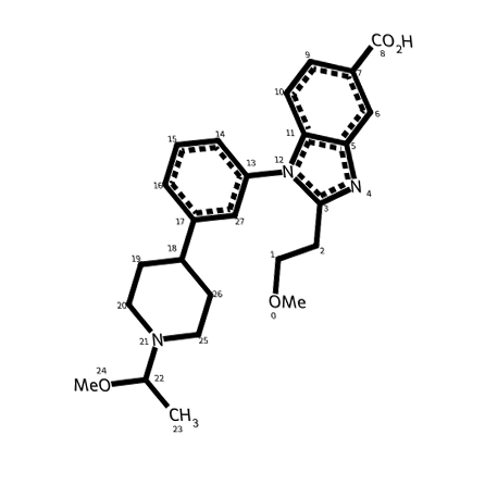 COCCc1nc2cc(C(=O)O)ccc2n1-c1cccc(C2CCN(C(C)OC)CC2)c1